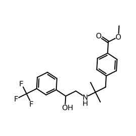 COC(=O)c1ccc(CC(C)(C)NCC(O)c2cccc(C(F)(F)F)c2)cc1